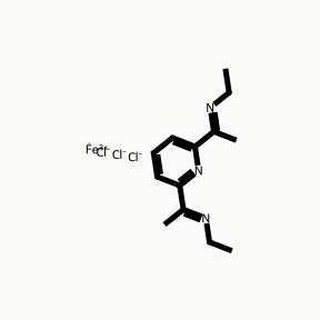 CCN=C(C)c1cccc(C(C)=NCC)n1.[Cl-].[Cl-].[Cl-].[Fe+3]